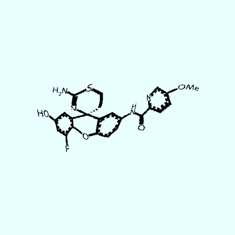 COc1ccc(C(=O)Nc2ccc3c(c2)[C@@]2(CCSC(N)=N2)c2cc(O)cc(F)c2O3)nc1